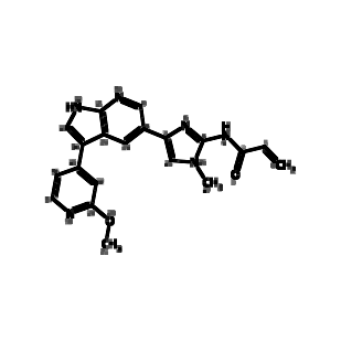 C=CC(=O)Nc1nc(-c2cnc3[nH]cc(-c4ccnc(OC)c4)c3c2)cn1C